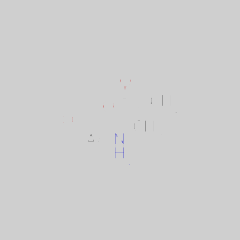 C=C(C)C(=O)OCC1CO1.CC(N)=O